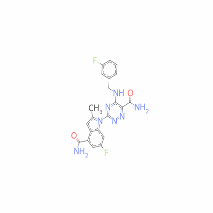 Cc1cc2c(C(N)=O)cc(F)cc2n1-c1nnc(C(N)=O)c(NCc2cccc(F)c2)n1